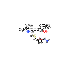 CC(O)(C(=O)[O-])C(C(=O)[O-])C(=O)O.CNC(=CNCCSCc1ccc(CN(C)C)o1)[N+](=O)[O-].[Zn+2]